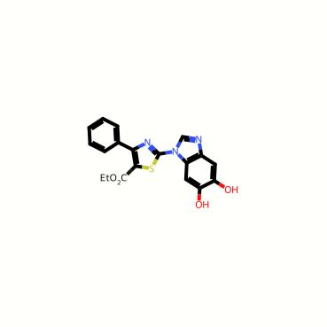 CCOC(=O)c1sc(-n2cnc3cc(O)c(O)cc32)nc1-c1ccccc1